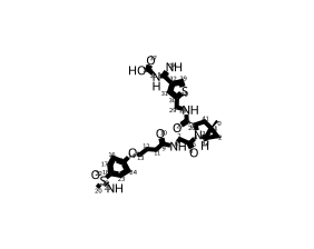 C[C@@]12C[C@@H]1N(C(=O)CNC(=O)CCCOc1ccc(S(C)(=N)=O)cc1)[C@H](C(=O)NCc1cc(C(=N)NC(=O)O)cs1)C2